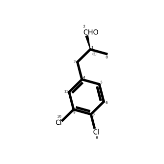 C[C@H](C=O)Cc1ccc(Cl)c(Cl)c1